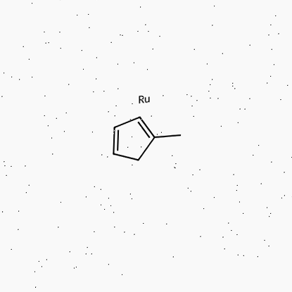 CC1=CC=CC1.[Ru]